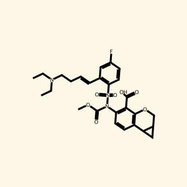 CCN(CC)CCC=Cc1cc(F)ccc1S(=O)(=O)N(C(=O)OC)c1ccc2c(c1C(=O)O)OCC1CC21